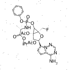 CC(=O)O[C@H]1[C@H](c2ccc3c(N)ncnn23)O[C@]2(CF)C(OP(=O)(N[C@@H](C)C(=O)OC(C)C)Oc3ccccc3)[C@]12OC(C)=O